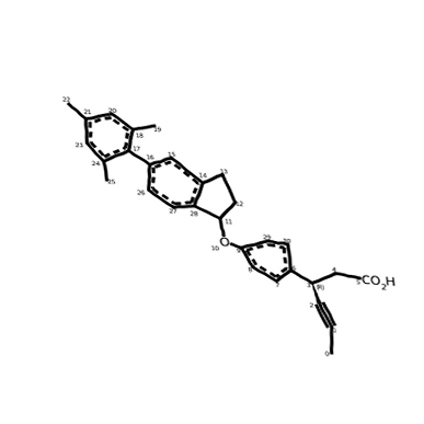 CC#C[C@H](CC(=O)O)c1ccc(OC2CCc3cc(-c4c(C)cc(C)cc4C)ccc32)cc1